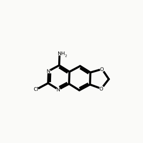 Nc1nc(Cl)nc2cc3c(cc12)OCO3